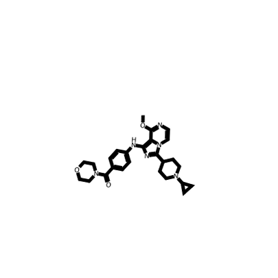 COc1nccn2c(C3CCN(C4CC4)CC3)nc(Nc3ccc(C(=O)N4CCOCC4)cc3)c12